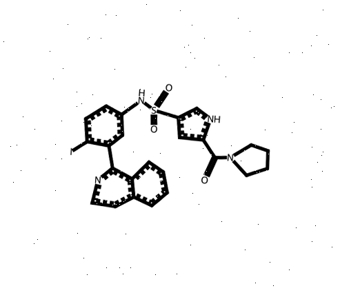 O=C(c1cc(S(=O)(=O)Nc2ccc(I)c(-c3nccc4ccccc34)c2)c[nH]1)N1CCCC1